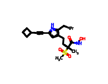 CC(C)Cc1[nH]c(C#CC2CCC2)cc1CCC(C)(C(=O)NO)S(C)(=O)=O